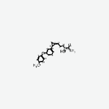 Cc1ccc(Oc2cccc(C3CC3CCCN(O)C(N)=O)c2)cc1